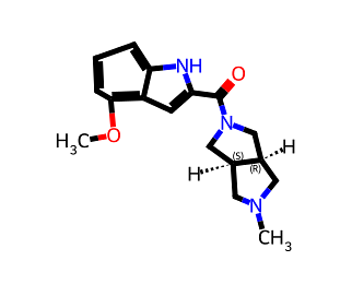 COc1cccc2[nH]c(C(=O)N3C[C@H]4CN(C)C[C@H]4C3)cc12